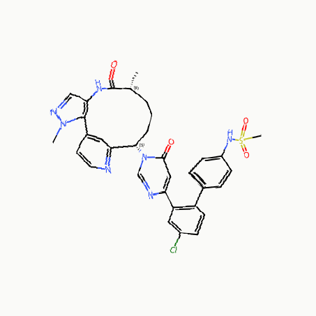 C[C@@H]1CCC[C@H](n2cnc(-c3cc(Cl)ccc3-c3ccc(NS(C)(=O)=O)cc3)cc2=O)c2cc(ccn2)-c2c(cnn2C)NC1=O